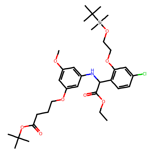 CCOC(=O)C(Nc1cc(OC)cc(OCCCC(=O)OC(C)(C)C)c1)c1ccc(Cl)cc1OCCO[Si](C)(C)C(C)(C)C